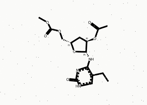 CCc1c[nH]c(=O)nc1N[C@@H]1O[C@H](COC(=O)OC)C[C@H]1OC(C)=O